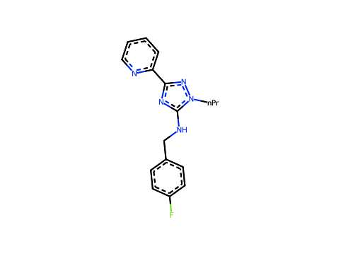 CCCn1nc(-c2ccccn2)nc1NCc1ccc(F)cc1